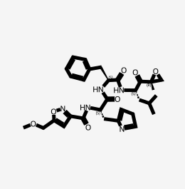 COCc1cc(C(=O)N[C@@H](CC2=CCC=N2)C(=O)N[C@@H](Cc2ccccc2)C(=O)N[C@@H](CC(C)C)C(=O)[C@@]2(C)CO2)no1